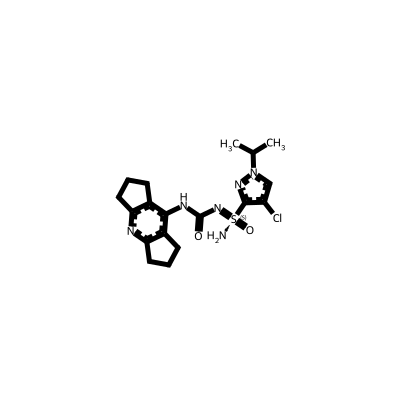 CC(C)n1cc(Cl)c([S@@](N)(=O)=NC(=O)Nc2c3c(nc4c2CCC4)CCC3)n1